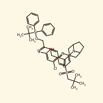 CC(C)(C)CS(=O)(=O)c1cc(CNC(=O)CO[Si](c2ccccc2)(c2ccccc2)C(C)(C)C)nc(N2C3CCC2CN(C(=O)c2ccc(F)cc2Cl)C3)c1